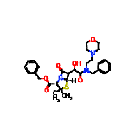 CC1(C)S[C@@H]2[C@H]([C@H](O)C(=O)N(CCN3CCOCC3)Cc3ccccc3)C(=O)N2[C@H]1C(=O)OCc1ccccc1